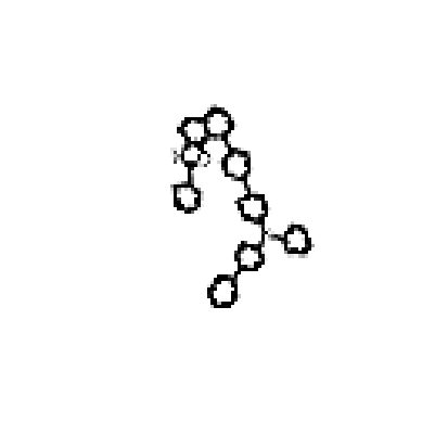 c1ccc(-c2ccc(N(c3ccccc3)c3ccc(-c4ccc(-c5cccc6ccc7nc(-c8ccccc8)oc7c56)cc4)cc3)cc2)cc1